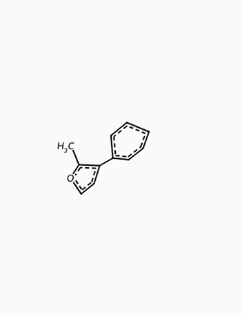 Cc1occc1-c1ccccc1